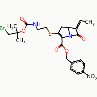 CC=C1C(=O)N2C(C(=O)OCc3ccc([N+](=O)[O-])cc3)=C(SCCNC(=O)OC(C)(C)CBr)CC12